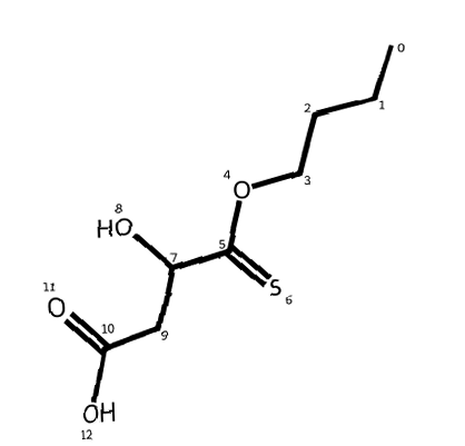 CCCCOC(=S)C(O)CC(=O)O